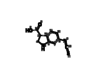 O=C(O)C1CNc2cc(N=C=S)ccc21